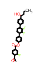 CCCC(O)c1ccc(-c2ccc(-c3ccc(OC(=O)c4ccc(C5CO5)c(F)c4)cc3)c(F)c2F)cc1